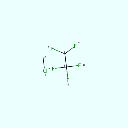 CCl.FC(F)C(F)(F)F